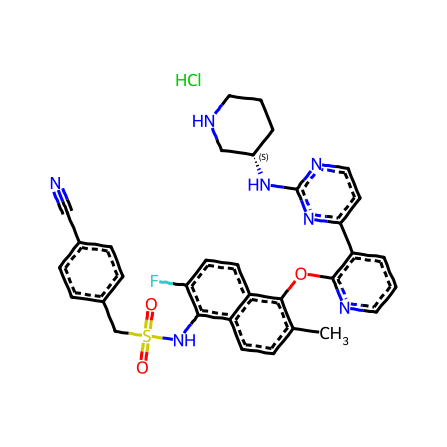 Cc1ccc2c(NS(=O)(=O)Cc3ccc(C#N)cc3)c(F)ccc2c1Oc1ncccc1-c1ccnc(N[C@H]2CCCNC2)n1.Cl